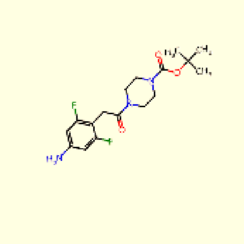 CC(C)(C)OC(=O)N1CCN(C(=O)Cc2c(F)cc(N)cc2F)CC1